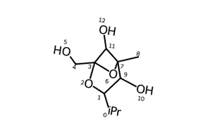 CC(C)C1OC2(CO)OC(C)(C1O)C2O